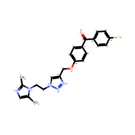 Cc1ncc([N+](=O)[O-])n1CCn1cc(COc2ccc(C(=O)c3ccc(F)cc3)cc2)nn1